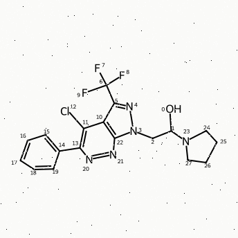 OC(Cn1nc(C(F)(F)F)c2c(Cl)c(-c3ccccc3)nnc21)N1CCCC1